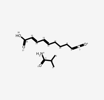 CC(C)C(N)=O.O=C=CCCC/C=C/C=C/C(=O)O